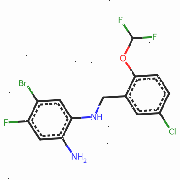 Nc1cc(F)c(Br)cc1NCc1cc(Cl)ccc1OC(F)F